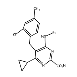 CCNc1nc(C(=O)O)nc(C2CC2)c1Cc1ccc(C)cc1Cl